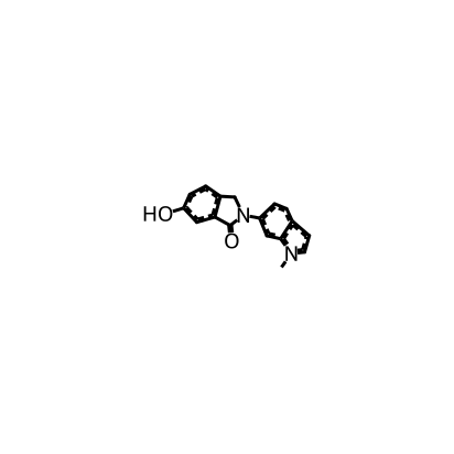 Cn1ccc2ccc(N3Cc4ccc(O)cc4C3=O)cc21